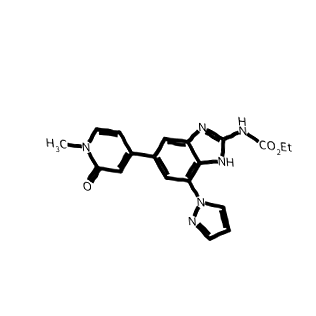 CCOC(=O)Nc1nc2cc(-c3ccn(C)c(=O)c3)cc(-n3cccn3)c2[nH]1